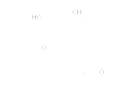 C=C(CCC1CCCO1)C(=O)O